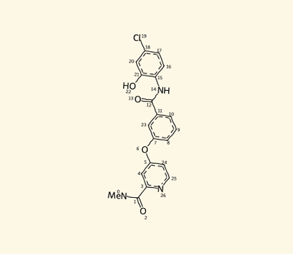 CNC(=O)c1cc(Oc2cccc(C(=O)Nc3ccc(Cl)cc3O)c2)ccn1